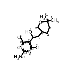 CC1(C)CCC(CC(O)c2c(Cl)nc(N)nc2Cl)CO1